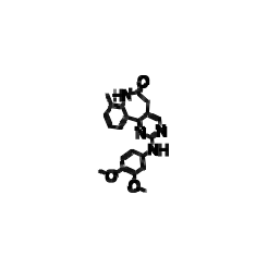 COc1ccc(Nc2ncc3c(n2)-c2cccc(C)c2NC(=O)C3)cc1OC